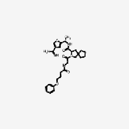 C[C@@H](NC(=O)C1CC2(CCCC2)CN1C(=O)CNC(=O)CCCOc1ccccc1)c1cc(C(=N)N)cs1